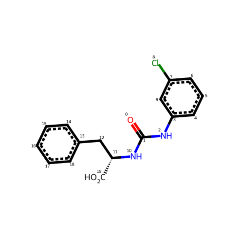 O=C(Nc1cccc(Cl)c1)N[C@@H](Cc1ccccc1)C(=O)O